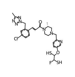 Cc1nnn(Cc2cc(Cl)ccc2/C=C/C(=O)N2CCN(Cc3ccc(OC(S)C(F)S)cn3)C[C@H]2C)n1